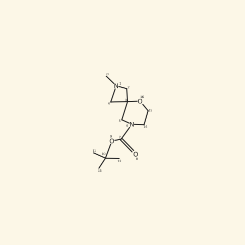 CN1CC2(C1)CN(C(=O)OC(C)(C)C)CCO2